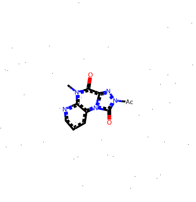 CC(=O)n1nc2c(=O)n(C)c3ncccc3n2c1=O